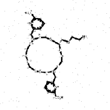 NCCSC[C@@H]1COCCN(Cc2cccc(C(=O)O)n2)CCOCCOCCN(Cc2cccc(C(=O)O)n2)CCO1